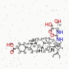 C=C(C)[C@@H]1CC[C@]2(NC(=O)N[C@@H](CO)C(=O)O)CC[C@]3(C)[C@H](CC[C@@H]4[C@@]5(C)CC=C(c6ccc(C(=O)O)cc6)C(C)(C)[C@@H]5CC[C@]43C)[C@@H]12